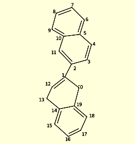 [CH]1C(c2ccc3ccccc3c2)=CCc2ccccc21